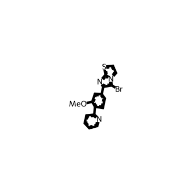 COc1cc(-c2nc3sccn3c2Br)ccc1-c1ccccn1